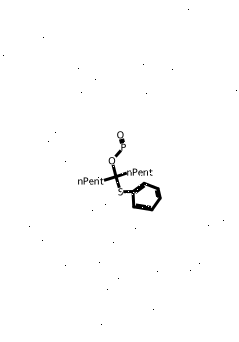 CCCCCC(CCCCC)(OP=O)Sc1ccccc1